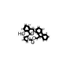 O=C(OCC1c2ccccc2-c2ccccc21)N1CCC[C@H]1C1OCCc2cccc(O)c21